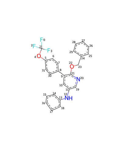 FC(F)(F)Oc1ccc(-c2cc(Nc3ccccc3)cnc2OCc2ccccc2)cc1